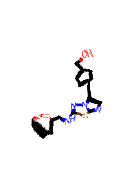 OCc1ccc(-c2cnc3sc(NCc4ccco4)nn23)cc1